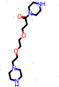 O=C(CCOCCOCCN1CCNCC1)N1CCNCC1